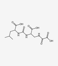 CC(C)CC(NC(=O)NC(CNC(=O)C(=O)O)C(=O)O)C(=O)O